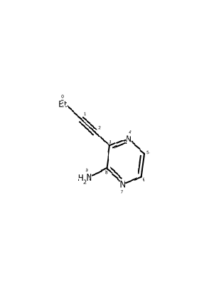 CCC#Cc1nccnc1N